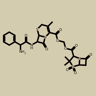 CC1=C(C(=O)OCOC(=O)C2N3C(=O)CC3S(=O)(=O)C2(C)C)N2C(=O)C(NC(=O)C(N)C3=CCC=CC3)C2SC1